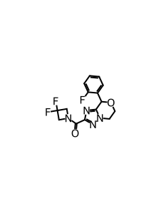 O=C(c1nc2n(n1)CCOC2c1ccccc1F)N1CC(F)(F)C1